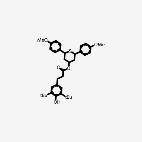 COc1ccc(C2CC(OC(=O)CCc3cc(C(C)(C)C)c(O)c(C(C)(C)C)c3)CC(c3ccc(OC)cc3)S2)cc1